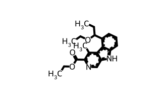 CCOC(=O)c1ncc2[nH]c3cccc(C(CC)OCC)c3c2c1C